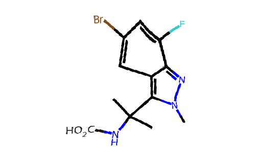 Cn1nc2c(F)cc(Br)cc2c1C(C)(C)NC(=O)O